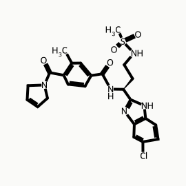 Cc1cc(C(=O)N[C@@H](CCNS(C)(=O)=O)c2nc3cc(Cl)ccc3[nH]2)ccc1C(=O)N1CC=CC1